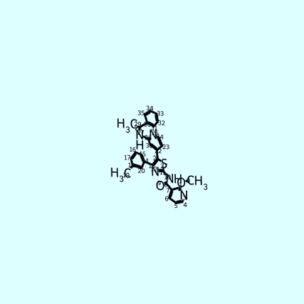 COc1ncccc1C(=O)Nc1nc(-c2cccc(C)c2)c(-c2ccnc(NC(C)c3ccccc3)c2)s1